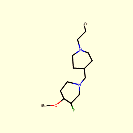 CC(C)CCN1CCC(CN2CCC(OC(C)(C)C)C(F)C2)CC1